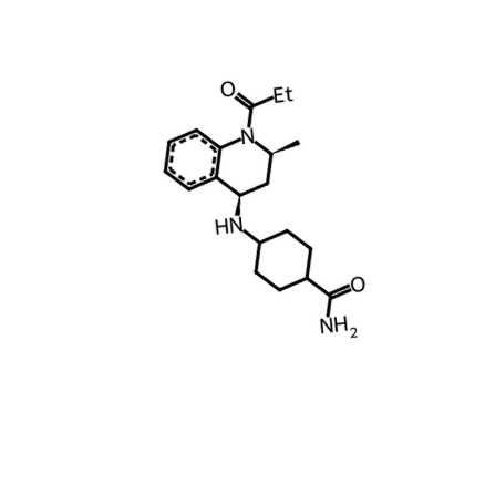 CCC(=O)N1c2ccccc2[C@H](NC2CCC(C(N)=O)CC2)C[C@@H]1C